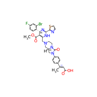 COC(=O)C1=C(CN2CCN3C(=O)N(c4ccc(/C(C)=C/C(=O)O)cc4)C[C@@H]3C2)NC(c2nccs2)=N[C@H]1c1ccc(F)cc1Br